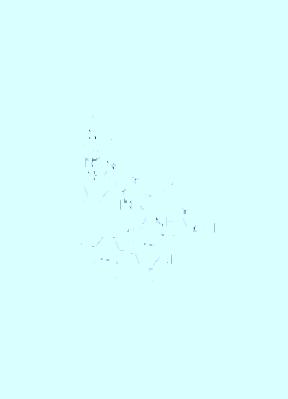 Cc1cc(C)c(-c2cc(C)c(F)c([C@H](CC(=O)O)NC(=O)[C@H](CC(C)C)NC(=O)c3cccn4nc(CN(C)C)nc34)c2)c(C)c1